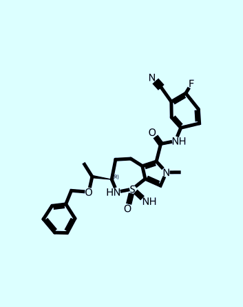 CC(OCc1ccccc1)[C@H]1CCc2c(cn(C)c2C(=O)Nc2ccc(F)c(C#N)c2)S(=N)(=O)N1